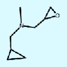 CN(CC1CC1)CC1CO1